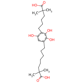 CC(C)(CCCCCCc1cc(O)c(CCCCC(C)(C)C(=O)O)c(O)c1O)C(=O)O